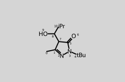 CC1=NN(C(C)(C)C)C(=O)C1C(O)C(C)C